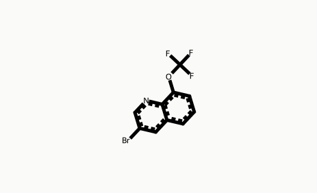 FC(F)(F)Oc1cccc2cc(Br)cnc12